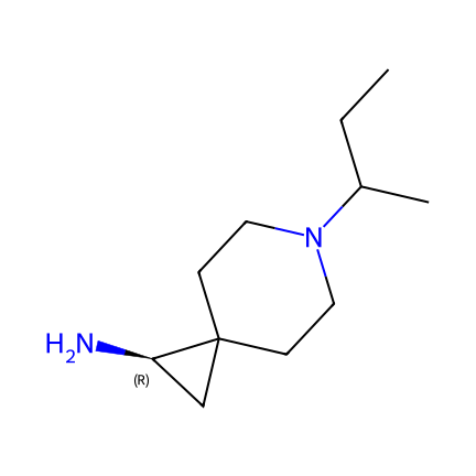 CCC(C)N1CCC2(CC1)C[C@H]2N